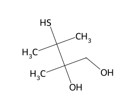 CC(C)(S)C(C)(O)CO